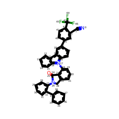 N#Cc1cc(-c2ccc3c(c2)c2ccccc2n3-c2cccc3c2C(=O)N(c2ccccc2-c2ccccc2)C3)ccc1C(F)(F)F